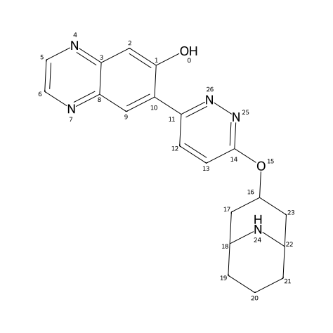 Oc1cc2nccnc2cc1-c1ccc(OC2CC3CCCC(C2)N3)nn1